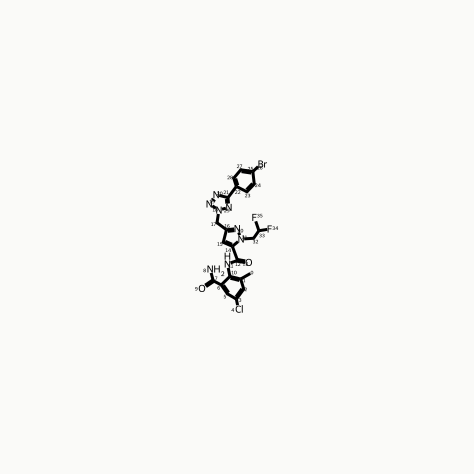 Cc1cc(Cl)cc(C(N)=O)c1NC(=O)c1cc(Cn2nnc(-c3ccc(Br)cc3)n2)nn1CC(F)F